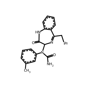 Cc1cccc(N(C(N)=O)C2N=C(CC(C)C)c3ccccc3NC2=O)c1